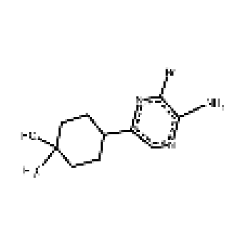 CC1(O)CCC(c2cnc(N)c(Br)n2)CC1